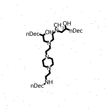 CCCCCCCCCCNCCN1CCN(CCN(CCN(C)CC(O)CCCCCCCCCC)CC(O)CCCCCCCCCC)CC1